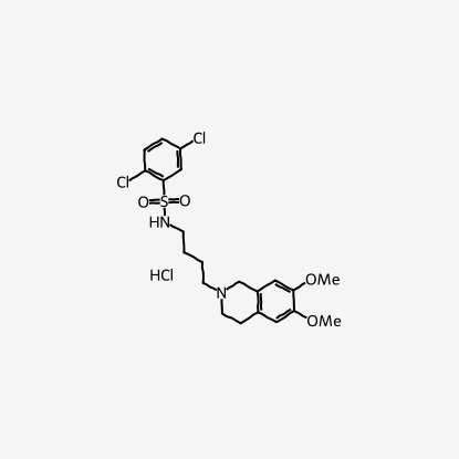 COc1cc2c(cc1OC)CN(CCCCNS(=O)(=O)c1cc(Cl)ccc1Cl)CC2.Cl